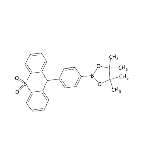 CC1(C)OB(c2ccc(C3c4ccccc4S(=O)(=O)c4ccccc43)cc2)OC1(C)C